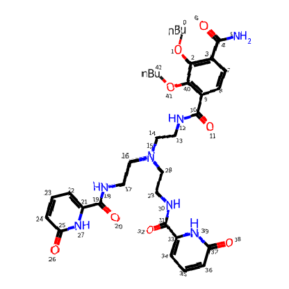 CCCCOc1c(C(N)=O)ccc(C(=O)NCCN(CCNC(=O)c2cccc(=O)[nH]2)CCNC(=O)c2cccc(=O)[nH]2)c1OCCCC